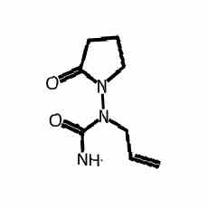 C=CCN(C([NH])=O)N1CCCC1=O